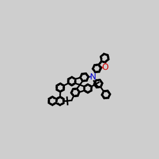 CC(C)(C)Cc1ccc2c(c1)-c1ccc(C(C)(C)C)cc1C21c2cc(-c3cccc(-c4cccc5ccccc45)c3)ccc2-c2ccc(N(c3ccc(-c4ccccc4)cc3)c3ccc4c(c3)oc3ccccc34)cc21